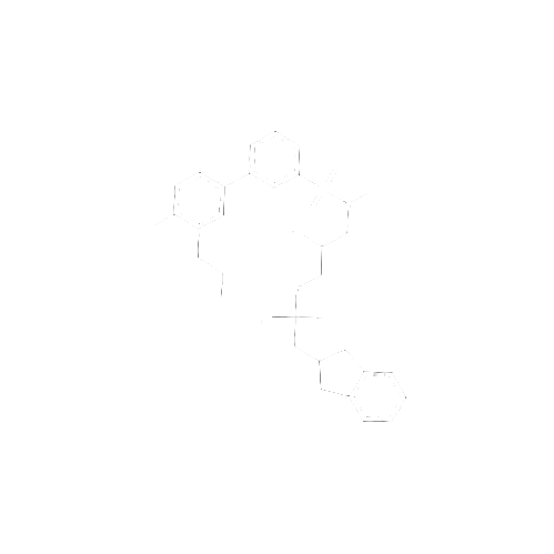 CN(CC(O)CNC(C)(C)CC1Cc2ccccc2C1)S(=O)(=O)c1cccc(-c2ccc(F)c(CCC(=O)O)c2)c1